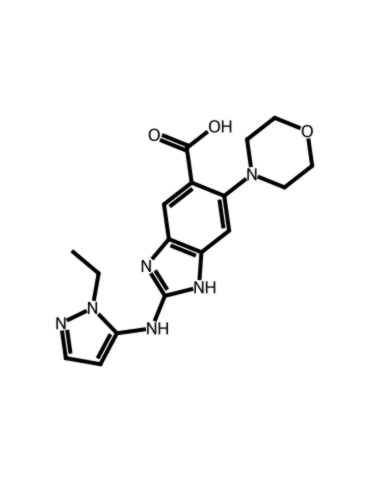 CCn1nccc1Nc1nc2cc(C(=O)O)c(N3CCOCC3)cc2[nH]1